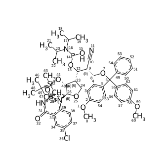 COc1ccc(C(OC[C@@H](C#N)C(OP(O)N(C(C)C)C(C)C)[C@@H]2CO[C@@H](n3c(=O)[nH]c(=O)c4cc(Cl)ccc43)[C@@H]2O[Si](C)(C)C(C)(C)C)(c2ccccc2)c2ccc(OC)cc2)cc1